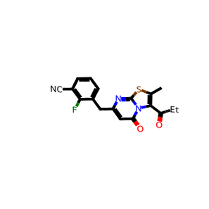 CCC(=O)c1c(C)sc2nc(Cc3cccc(C#N)c3F)cc(=O)n12